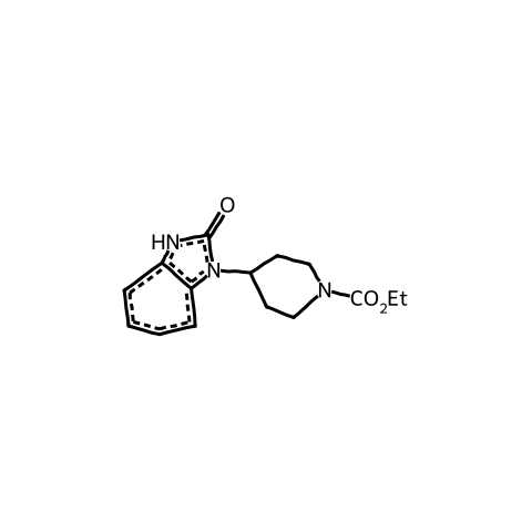 CCOC(=O)N1CCC(n2c(=O)[nH]c3ccccc32)CC1